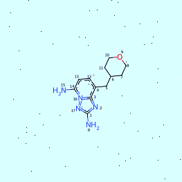 Nc1nc2c(CC3CCOCC3)ccc(N)n2n1